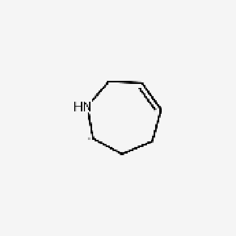 [CH]1CCC=CCN1